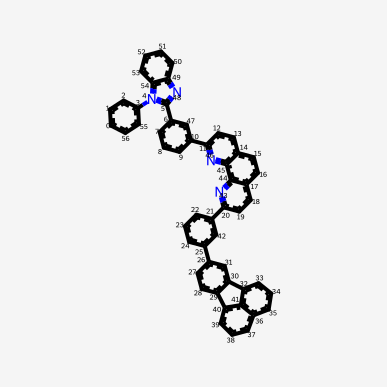 c1ccc(-n2c(-c3cccc(-c4ccc5ccc6ccc(-c7cccc(-c8ccc9c(c8)-c8cccc%10cccc-9c8%10)c7)nc6c5n4)c3)nc3ccccc32)cc1